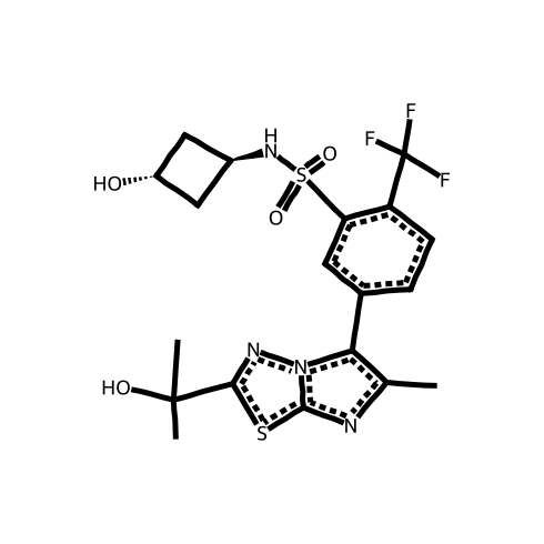 Cc1nc2sc(C(C)(C)O)nn2c1-c1ccc(C(F)(F)F)c(S(=O)(=O)N[C@H]2C[C@H](O)C2)c1